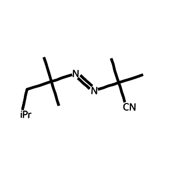 CC(C)CC(C)(C)N=NC(C)(C)C#N